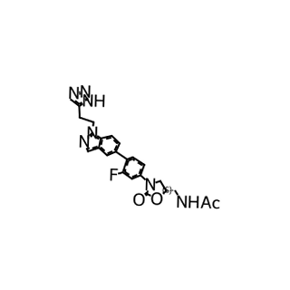 CC(=O)NC[C@H]1CN(c2ccc(-c3ccc4c(cnn4CCc4cnn[nH]4)c3)c(F)c2)C(=O)O1